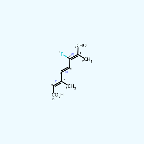 C\C(C=O)=C(F)/C=C/C(C)=C/C(=O)O